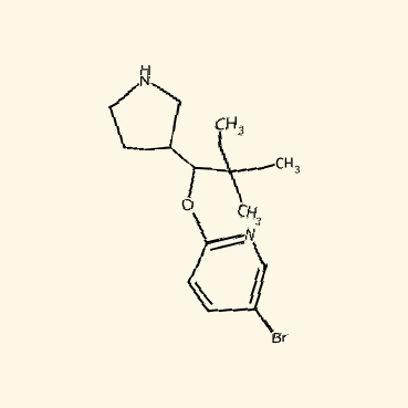 CC(C)(C)C(Oc1ccc(Br)cn1)C1CCNC1